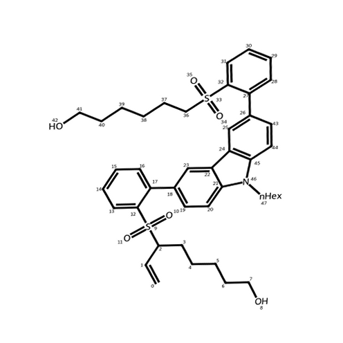 C=CC(CCCCCO)S(=O)(=O)c1ccccc1-c1ccc2c(c1)c1cc(-c3ccccc3S(=O)(=O)CCCCCCO)ccc1n2CCCCCC